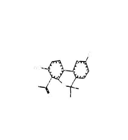 CC(=O)c1c(O)ccc2c1OC(C)(C)c1ccc(Cl)cc1-2